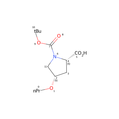 CCCO[C@H]1C[C@@H](C(=O)O)N(C(=O)OC(C)(C)C)C1